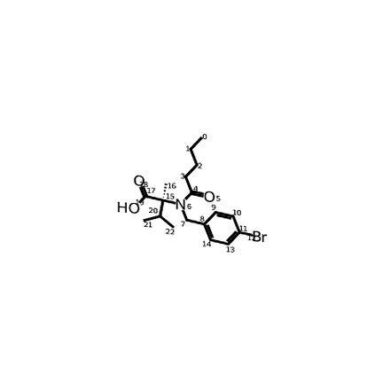 CCCCC(=O)N(Cc1ccc(Br)cc1)[C@](C)(C(=O)O)C(C)C